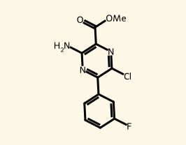 COC(=O)c1nc(Cl)c(-c2cccc(F)c2)nc1N